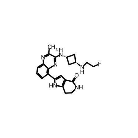 Cc1nc2cccc(-c3cc4c([nH]3)CCNC4=O)c2nc1N[C@H]1C[C@H](NCCF)C1